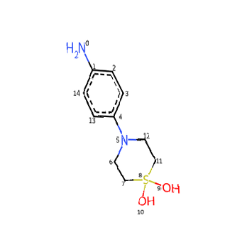 Nc1ccc(N2CCS(O)(O)CC2)cc1